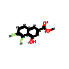 COC(=O)c1cc(O)c2c(F)c(F)ccc2c1